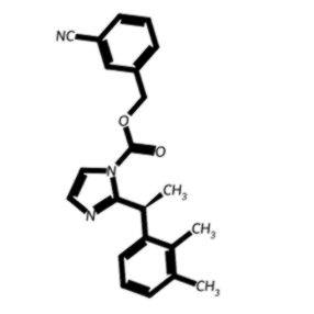 Cc1cccc([C@H](C)c2nccn2C(=O)OCc2cccc(C#N)c2)c1C